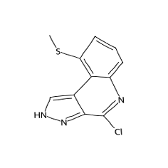 CSc1cccc2nc(Cl)c3n[nH]cc3c12